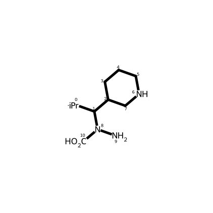 C[C](C)C(C1CCCNC1)N(N)C(=O)O